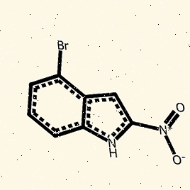 O=[N+]([O-])c1cc2c(Br)cccc2[nH]1